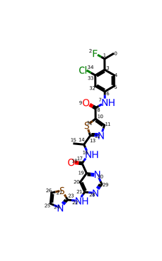 CC(F)c1ccc(NC(=O)c2cnc(C(C)NC(=O)c3cc(Nc4nccs4)ncn3)s2)cc1Cl